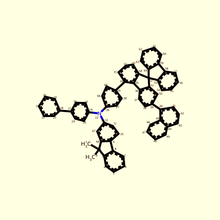 CC1(C)c2ccccc2-c2ccc(N(c3ccc(-c4ccccc4)cc3)c3ccc(-c4cccc5c4-c4ccc(-c6cccc7ccccc67)cc4C54c5ccccc5-c5ccccc54)cc3)cc21